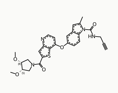 C#CCNC(=O)n1c(C)cc2cc(Oc3ccnc4cc(C(=O)N5C[C@H](OC)[C@H](OC)C5)sc34)ccc21